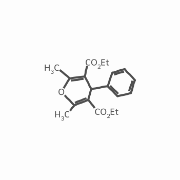 CCOC(=O)C1=C(C)OC(C)=C(C(=O)OCC)C1c1ccccc1